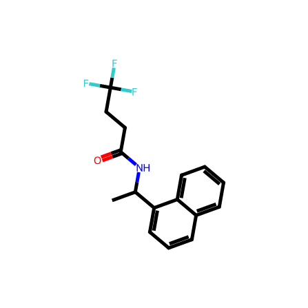 CC(NC(=O)CCC(F)(F)F)c1cccc2ccccc12